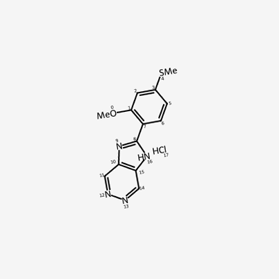 COc1cc(SC)ccc1-c1nc2cnncc2[nH]1.Cl